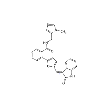 Cn1cncc1CNC(=O)c1ccccc1-c1ccc(/C=C2/C(=O)Nc3ccccc32)o1